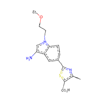 CCOCCn1cc(N)c2cc(-c3nc(C)c(C(=O)O)s3)ccc21